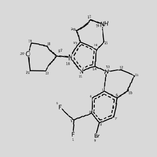 FC(F)c1cc2c(cc1Br)CCCN2c1nn(C2CCOCC2)c2c1CNCC2